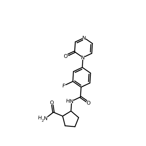 NC(=O)C1CCCC1NC(=O)c1ccc(-n2ccncc2=O)cc1F